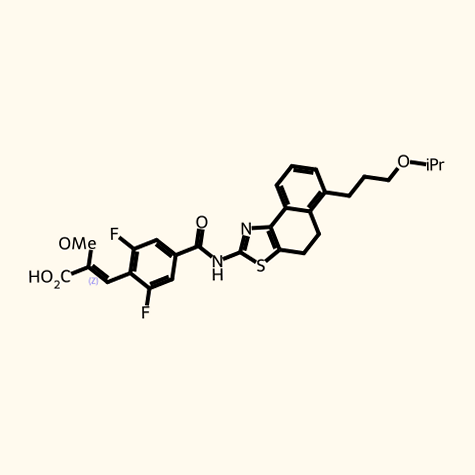 CO/C(=C\c1c(F)cc(C(=O)Nc2nc3c(s2)CCc2c(CCCOC(C)C)cccc2-3)cc1F)C(=O)O